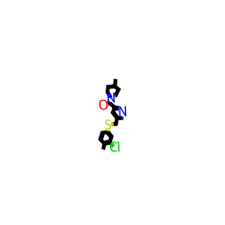 Cc1ccc(SCc2cncc(C(=O)N3CCC(C)CC3)c2)cc1Cl